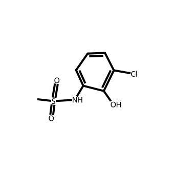 CS(=O)(=O)Nc1cccc(Cl)c1O